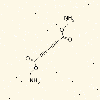 NCOC(=O)C#CC#CC(=O)OCN